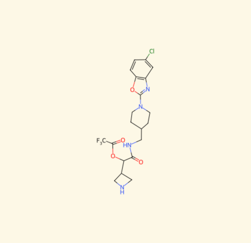 O=C(NCC1CCN(c2nc3cc(Cl)ccc3o2)CC1)C(OC(=O)C(F)(F)F)C1CNC1